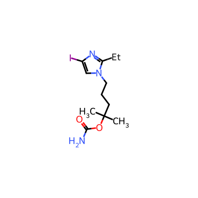 CCc1nc(I)cn1CCCC(C)(C)OC(N)=O